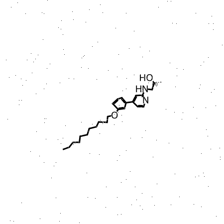 CCCCCCCCCCCOc1cccc(-c2ccnc(NC[C@@H](C)O)c2)c1